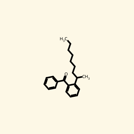 CCCCCCCC(C)c1ccccc1C(=O)c1ccccc1